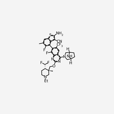 CCN1CC[C@H](C(F)F)[C@](C)(COc2nc(N3C[C@H]4CC[C@@H](C3)N4)c3cc(C(F)(F)F)c(-c4c(F)c(C)cc5sc(N)c(C#N)c45)c(F)c3n2)C1